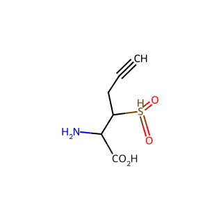 C#CCC(C(N)C(=O)O)[SH](=O)=O